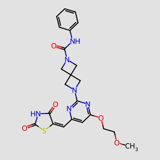 COCCOc1cc(C=C2SC(=O)NC2=O)nc(N2CC3(CN(C(=O)Nc4ccccc4)C3)C2)n1